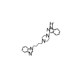 c1ccc2c(c1)ncn2CCCCN1CCN(c2n[nH]c3ccccc23)CC1